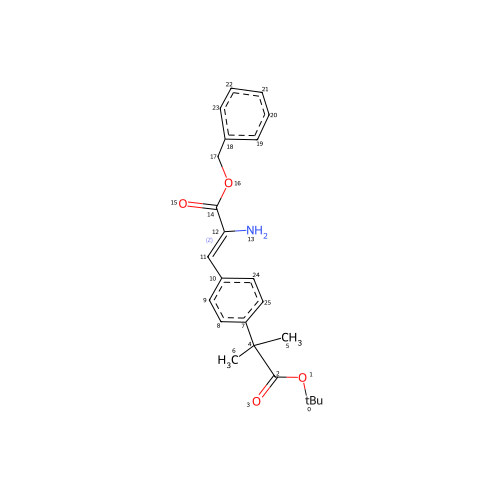 CC(C)(C)OC(=O)C(C)(C)c1ccc(/C=C(\N)C(=O)OCc2ccccc2)cc1